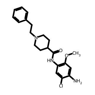 COc1cc(N)c(Cl)cc1NC(=O)C1CCN(CCc2ccccc2)CC1